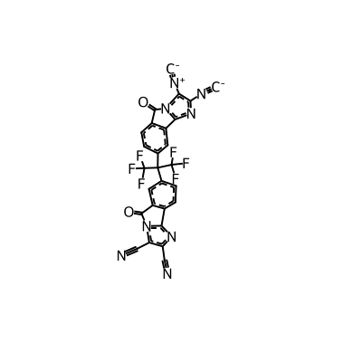 [C-]#[N+]c1nc2n(c1[N+]#[C-])C(=O)c1ccc(C(c3ccc4c(c3)C(=O)n3c-4nc(C#N)c3C#N)(C(F)(F)F)C(F)(F)F)cc1-2